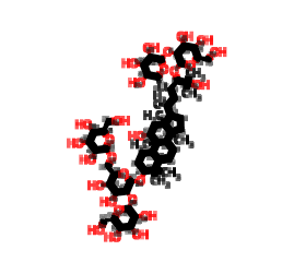 CC[C@@H]1O[C@H](O[C@H]2[C@H](O[C@H](CC[C@@H](C)C3CC[C@@]4(C)C5CC=C6C(CC[C@H](O[C@@H]7O[C@H](CO[C@@H]8O[C@H](CO)[C@@H](O)[C@H](O)[C@H]8O)[C@@H](O)[C@H](O)[C@H]7O[C@H]7O[C@@H](CO)[C@H](O)[C@@H](O)[C@@H]7O)C6(C)C)[C@]5(C)[C@H](O)C[C@]34C)C(C)(C)O)O[C@H](CO)[C@@H](O)[C@@H]2O)[C@@H](O)[C@H](O)[C@H]1O